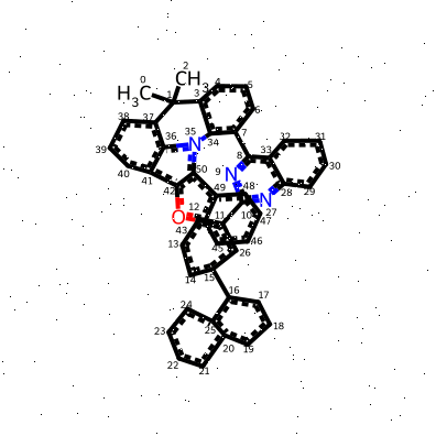 CC1(C)c2cccc(-c3nc(-c4cccc(-c5cccc6ccccc56)c4)nc4ccccc34)c2-n2c3c1cccc3c1oc3ccccc3c12